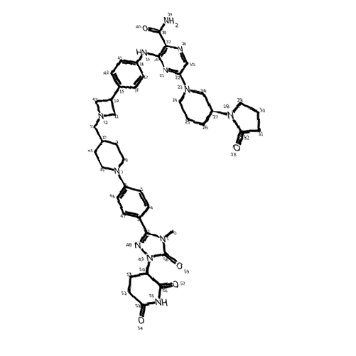 Cn1c(-c2ccc(N3CCC(CN4CC(c5ccc(Nc6nc(N7CCC[C@H](N8CCCC8=O)C7)cnc6C(N)=O)cc5)C4)CC3)cc2)nn(C2CCC(=O)NC2=O)c1=O